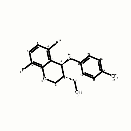 OC[C@@H]1COc2c(F)ccc(F)c2[C@H]1Sc1ccc(C(F)(F)F)cc1